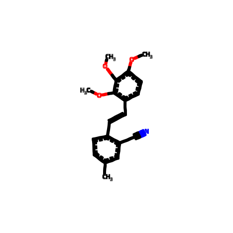 COc1ccc(C=Cc2ccc(C)cc2C#N)c(OC)c1OC